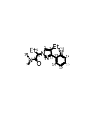 CCc1cn(C(CC)C(=O)N(C)C)nc1-c1ccccc1Cl